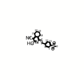 CS(=O)(=O)c1ccc(CSc2nc(O)c(C#N)c3c2CCCC3)cc1